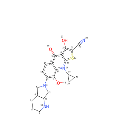 COc1c(N2CC3CCCNC3C2)ccc2c(=O)c3c(O)c(C#N)sc3n(C3CC3)c12